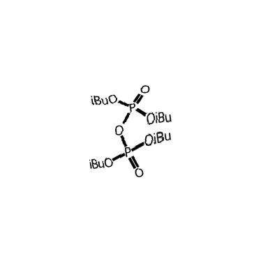 CC(C)COP(=O)(OCC(C)C)OP(=O)(OCC(C)C)OCC(C)C